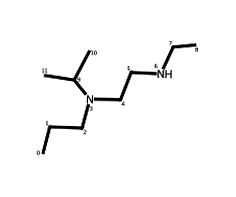 CCCN(CCNCC)C(C)C